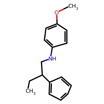 CCC(CNc1ccc(OC)cc1)c1ccccc1